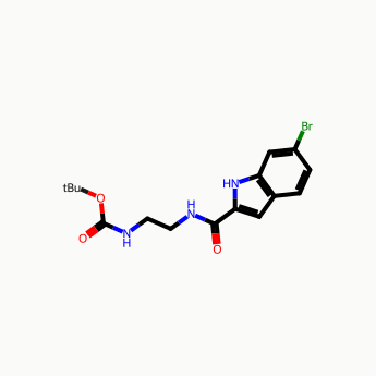 CC(C)(C)OC(=O)NCCNC(=O)c1cc2ccc(Br)cc2[nH]1